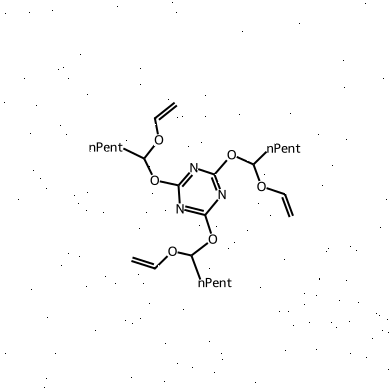 C=COC(CCCCC)Oc1nc(OC(CCCCC)OC=C)nc(OC(CCCCC)OC=C)n1